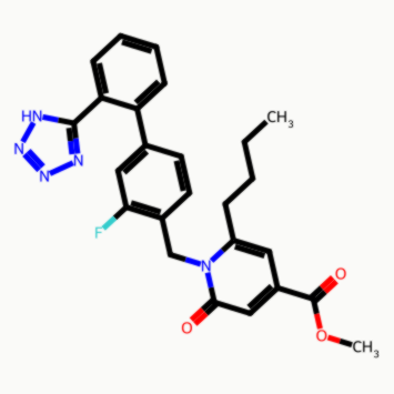 CCCCc1cc(C(=O)OC)cc(=O)n1Cc1ccc(-c2ccccc2-c2nnn[nH]2)cc1F